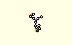 c1ccc(-c2ccc(N(c3ccc(-c4ccc5c(c4)C(c4ccccc4)(c4ccccc4)c4c-5sc5ccccc45)cc3)c3ccc(-c4cccc5oc6ccccc6c45)cc3)cc2)cc1